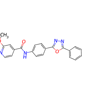 COc1cc(C(=O)Nc2ccc(-c3nnc(-c4ccccc4)o3)cc2)ccn1